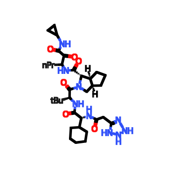 CCCC(NC(=O)[C@@H]1[C@H]2CCC[C@H]2CN1C(=O)[C@@H](NC(=O)[C@H](NC(=O)CC1=NNNN1)C1CCCCC1)C(C)(C)C)C(=O)C(=O)NC1CC1